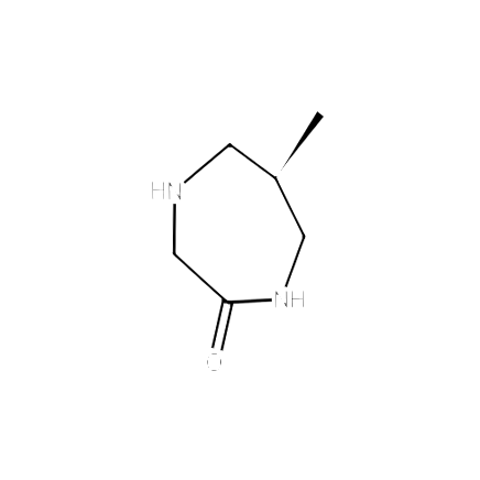 C[C@@H]1CNCC(=O)NC1